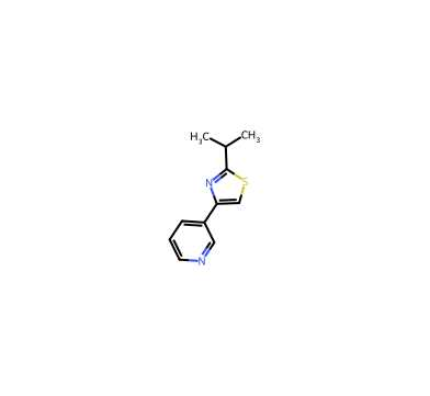 CC(C)c1nc(-c2cccnc2)cs1